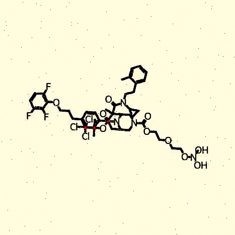 Cc1ccccc1CCN(C(=O)C1(C)C(c2ccc(CCCOc3c(F)ccc(F)c3F)cc2)CC2CN(C(=O)OCCOCCON(O)O)CC1N2C(=O)OC(C)(C)C(Cl)(Cl)Cl)C1CC1